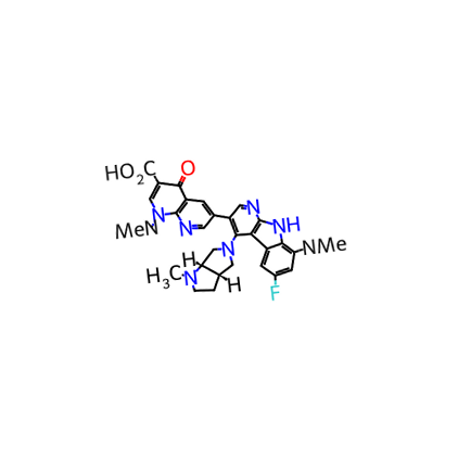 CNc1cc(F)cc2c1[nH]c1ncc(-c3cnc4c(c3)c(=O)c(C(=O)O)cn4NC)c(N3C[C@@H]4CCN(C)[C@@H]4C3)c12